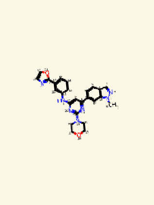 Cn1ncc2ccc(-c3cc(Nc4cccc(-c5ncco5)c4)nc(N4CCOCC4)n3)cc21